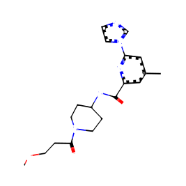 COCCC(=O)N1CCC(NC(=O)c2cc(C)cc(-n3ccnc3)n2)CC1